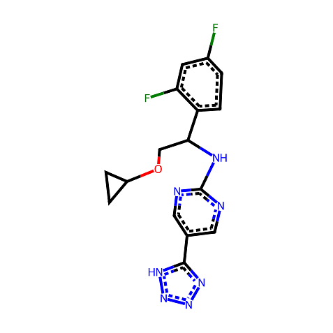 Fc1ccc(C(COC2CC2)Nc2ncc(-c3nnn[nH]3)cn2)c(F)c1